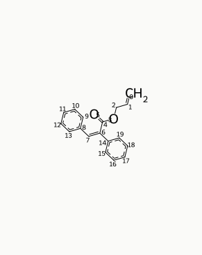 C=CCOC(=O)/C(=C\c1ccccc1)c1ccccc1